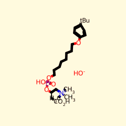 CC(C)(C)c1ccc(OCCCCCCCCOP(=O)(O)O[C@H](CC(=O)O)C[N+](C)(C)C)cc1.[OH-]